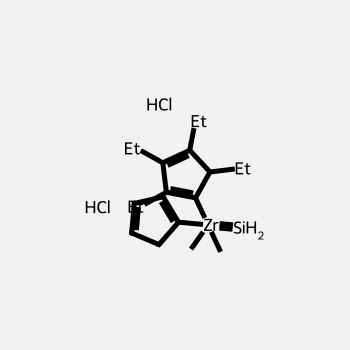 CCC1=C(CC)C(CC)[C]([Zr]([CH3])([CH3])(=[SiH2])[C]2=CC=CC2)=C1CC.Cl.Cl